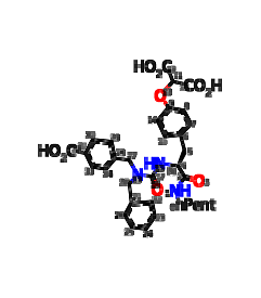 CCCCCNC(=O)[C@H](Cc1ccc(OC(C(=O)O)C(=O)O)cc1)NC(=O)N(Cc1ccccc1)Cc1ccc(C(=O)O)cc1